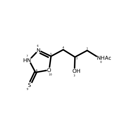 CC(=O)NCC(O)Cc1n[nH]c(=S)o1